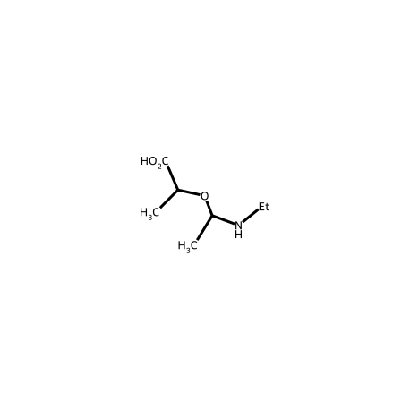 CCNC(C)OC(C)C(=O)O